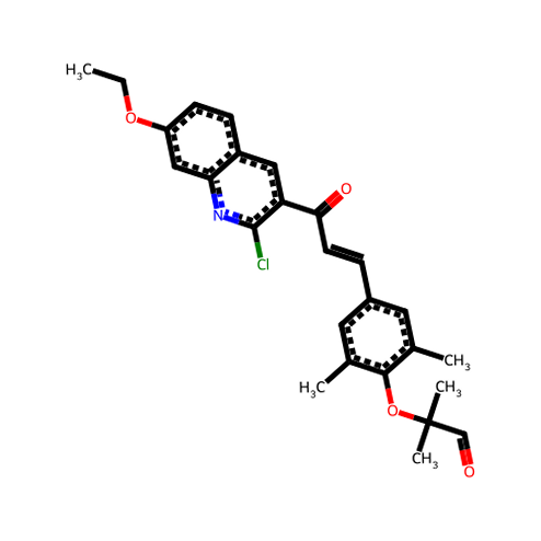 CCOc1ccc2cc(C(=O)/C=C/c3cc(C)c(OC(C)(C)C=O)c(C)c3)c(Cl)nc2c1